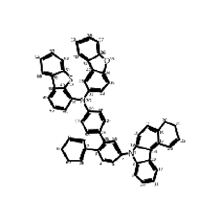 C1=CC(c2ccc(-n3c4ccccc4c4c5c(ccc43)CCC=C5)cc2-c2ccc(N(c3ccc4oc5ccccc5c4c3)c3cccc4c3sc3ccccc34)cc2)=CCC1